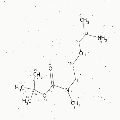 C[C@H](N)COCCN(C)C(=O)OC(C)(C)C